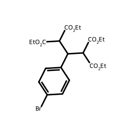 CCOC(=O)C(C(=O)OCC)C(c1ccc(Br)cc1)C(C(=O)OCC)C(=O)OCC